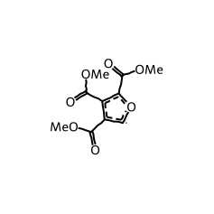 COC(=O)c1[c]oc(C(=O)OC)c1C(=O)OC